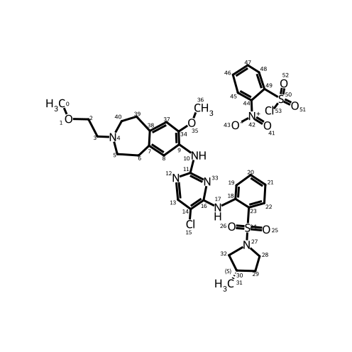 COCCN1CCc2cc(Nc3ncc(Cl)c(Nc4ccccc4S(=O)(=O)N4CC[C@H](C)C4)n3)c(OC)cc2CC1.O=[N+]([O-])c1ccccc1S(=O)(=O)Cl